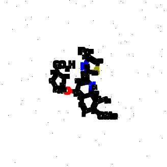 COc1ccc2c(O[C@@H]3CC[C@H](C(=O)O)C3)cc(-c3nc(C(C)C)cs3)nc2c1C